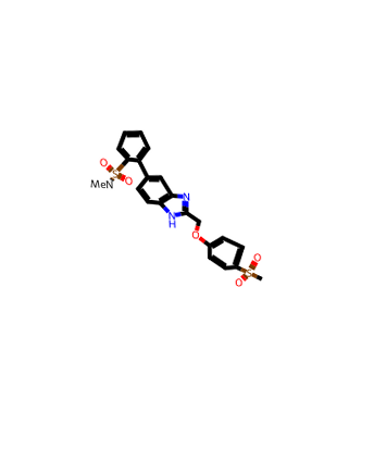 CNS(=O)(=O)c1ccccc1-c1ccc2[nH]c(COc3ccc(S(C)(=O)=O)cc3)nc2c1